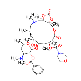 CC[C@H]1OC(=O)[C@H](C)[C@@H](OC(=O)N2CCOCC2)[C@H](C)[C@@H](O[C@@H]2O[C@H](C)C[C@H](N(C)C)[C@H]2OC(=O)c2ccccc2)[C@](C)(O)C[C@@H](C)CN(C)[C@H](C)[C@H]2OC(=O)O[C@@]21C